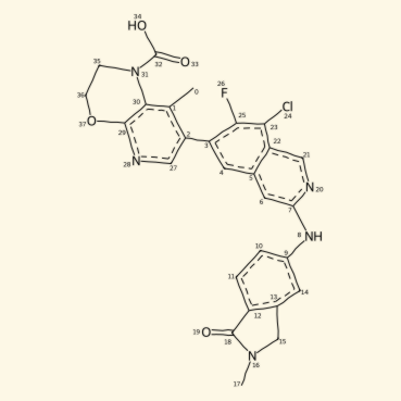 Cc1c(-c2cc3cc(Nc4ccc5c(c4)CN(C)C5=O)ncc3c(Cl)c2F)cnc2c1N(C(=O)O)CCO2